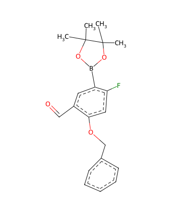 CC1(C)OB(c2cc(C=O)c(OCc3ccccc3)cc2F)OC1(C)C